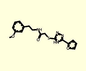 COc1cccc(CCNC(=O)CSc2nnc(-c3ccco3)[nH]2)c1